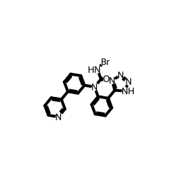 O=C(NBr)N(c1cccc(-c2cccnc2)c1)c1ccccc1-c1nnn[nH]1